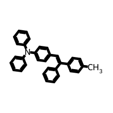 Cc1ccc(/C(=C/c2ccc(N(c3ccccc3)c3ccccc3)cc2)c2ccccc2)cc1